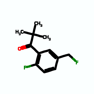 CC(C)(C)C(=O)c1cc(CF)ccc1F